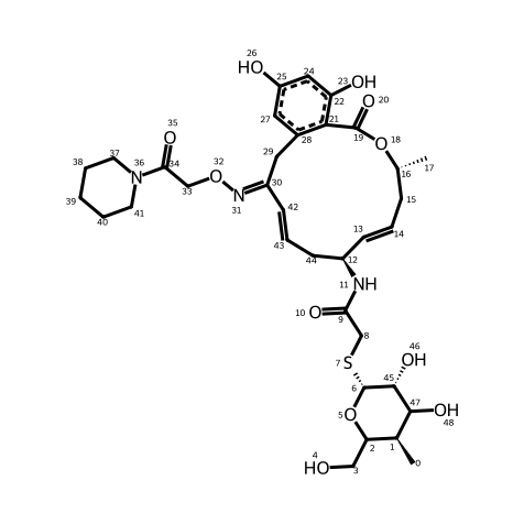 C[C@H]1C(CO)O[C@H](SCC(=O)N[C@@H]2/C=C/C[C@@H](C)OC(=O)c3c(O)cc(O)cc3CC(=NOCC(=O)N3CCCCC3)/C=C/C2)[C@H](O)C1O